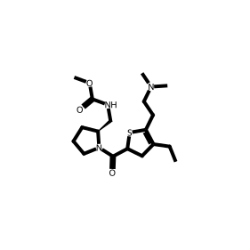 CCC1=C(CCN(C)C)SC(C(=O)N2CCC[C@H]2CNC(=O)OC)C1